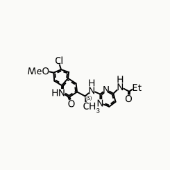 CCC(=O)Nc1ccnc(N[C@@H](C)c2cc3cc(Cl)c(OC)cc3[nH]c2=O)n1